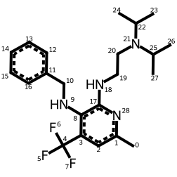 Cc1cc(C(F)(F)F)c(NCc2ccccc2)c(NCCN(C(C)C)C(C)C)n1